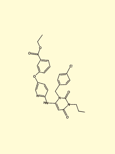 CCCn1c(=O)cc(Nc2ccc(Oc3cccc(C(=O)OCC)c3)cn2)n(Cc2ccc(Cl)cc2)c1=O